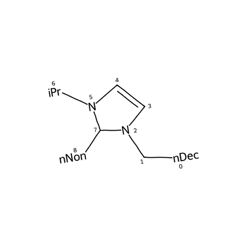 CCCCCCCCCCCN1C=CN(C(C)C)C1CCCCCCCCC